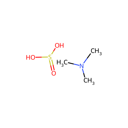 CN(C)C.O=S(O)O